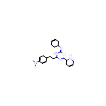 CN(C)C1=CCC(CCC(NCC2CC=CCN2)N/C(Cl)=N\C2CC=CCC2)C=C1